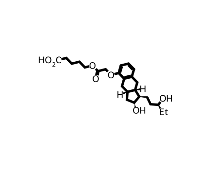 CC[C@H](O)CC[C@@H]1[C@H]2Cc3cccc(OCC(=O)OCCCCC(=O)O)c3C[C@H]2C[C@H]1O